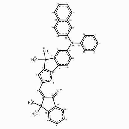 CC1(C)/C(=C/c2cc3c(s2)-c2ccc(N(c4ccccc4)c4ccc5ccccc5c4)cc2C3(C)C)C(=O)c2ccccc21